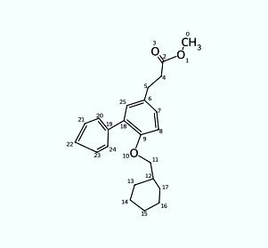 COC(=O)CCc1ccc(OCC2CCCCC2)c(-c2ccccc2)c1